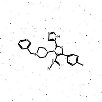 CC(C)NC(=O)C1=C(c2ccc(F)cc2)SC(c2cnc[nH]2)N1C1CCN(Cc2ccccc2)CC1